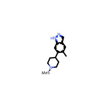 CSN1CCC(c2cc3[nH]ncc3cc2C)CC1